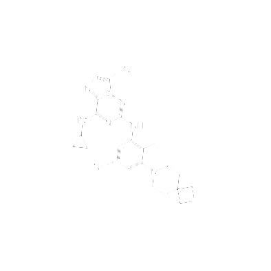 N#Cc1cc(Nc2nc(NC3CC3)c3ncc(C#N)n3n2)c(Cl)c(N2CCC3(CC2)COC3)c1